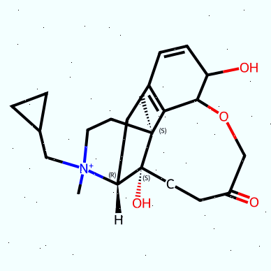 C[C@]12CC[N+](C)(CC3CC3)[C@@H]3CC4=C1C(OCC(=O)CC[C@@]32O)C(O)C=C4